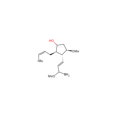 BC(/C=C/[C@H]1[C@H](OC)CC(O)[C@@H]1C/C=C\CCCC)OC